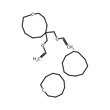 C1CCCCCCCCC1.C1CCCCCCCCC1.C=COCC1(COC=C)CCCCCCCCC1